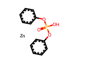 O=P(O)(Oc1ccccc1)Oc1ccccc1.[Zn]